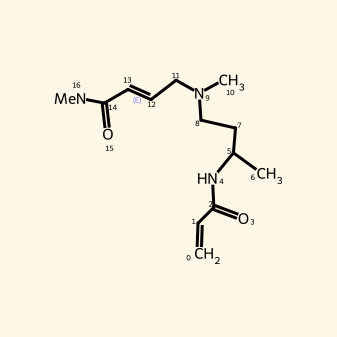 C=CC(=O)NC(C)CCN(C)C/C=C/C(=O)NC